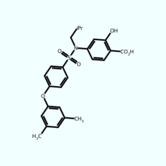 Cc1cc(C)cc(Oc2ccc(S(=O)(=O)N(CC(C)C)c3ccc(C(=O)O)c(O)c3)cc2)c1